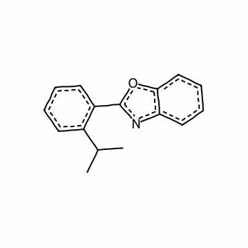 CC(C)c1ccccc1-c1nc2ccccc2o1